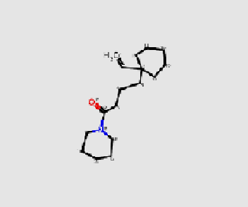 C=CC1(CCCC(=O)N2CCCCC2)CCCCC1